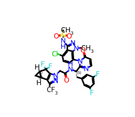 Cn1nc(NS(C)(=O)=O)c2c(Cl)ccc(-n3c([C@H](Cc4cc(F)cc(F)c4)NC(=O)Cn4nc(C(F)(F)F)c5c4C(F)(F)[C@@H]4C[C@H]54)nccc3=O)c21